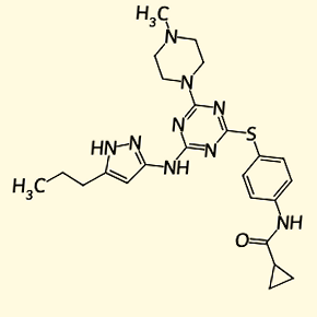 CCCc1cc(Nc2nc(Sc3ccc(NC(=O)C4CC4)cc3)nc(N3CCN(C)CC3)n2)n[nH]1